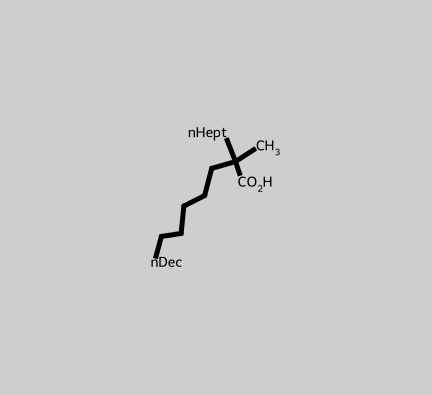 CCCCCCCCCCCCCCCC(C)(CCCCCCC)C(=O)O